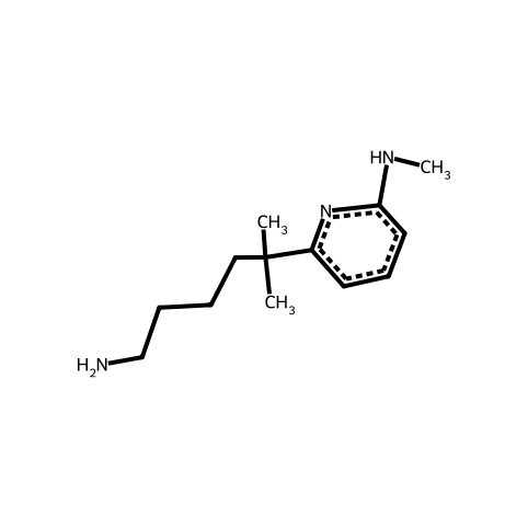 CNc1cccc(C(C)(C)CCCCN)n1